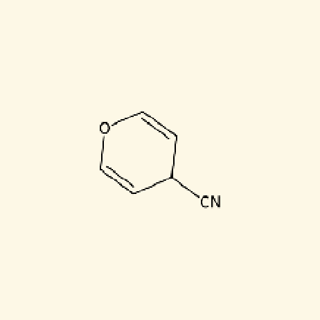 N#CC1C=COC=C1